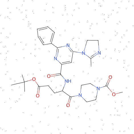 COC(=O)N1CCN(C(=O)C(CCC(=O)OC(C)(C)C)NC(=O)c2cc(N3CCN=C3C)nc(-c3ccccc3)n2)CC1